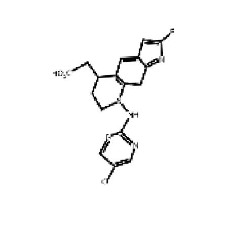 O=C(O)CC1CCN(Nc2ncc(Cl)cn2)C2=C1C=C1C=C(F)N=C1C2